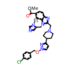 CCn1cncc1Cn1c(CN2CCC(c3ccn(OCc4ccc(Cl)cc4)n3)CC2)nc2ccc(C(=O)OC)cc21